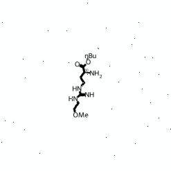 CCCCOC(=O)[C@@H](N)CCNC(=N)NCCOC